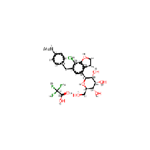 CNc1ccc(Cc2cc([C@@H]3O[C@H](CO)[C@@H](O)[C@H](O)[C@H]3O)c3c(c2Cl)OCC3)cc1.O=C(O)C(F)(F)F